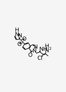 C/C(N)=C(\Cl)C(=N)Cn1ncc2cc(S(=O)(=O)c3cc[nH]n3)ccc2c1=O